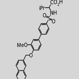 COc1cc(-c2ccc(S(=O)(=O)NC(C(=O)O)C(C)C)cc2)ccc1OCc1ccc2ccccc2c1